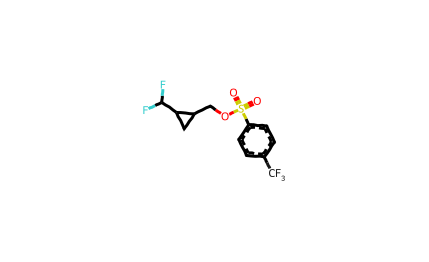 O=S(=O)(OCC1CC1C(F)F)c1ccc(C(F)(F)F)cc1